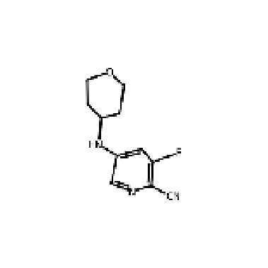 N#Cc1ncc(NC2CCOCC2)cc1F